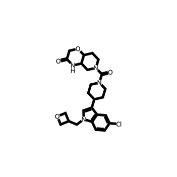 O=C1COC2CCN(C(=O)N3CCC(c4cn(CC5COC5)c5ccc(Cl)cc45)CC3)CC2N1